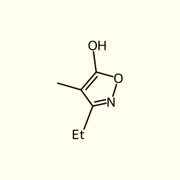 [CH2]Cc1noc(O)c1C